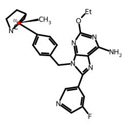 CCOc1nc(N)c2nc(-c3cncc(F)c3)n(Cc3ccc([C@@]4(C)CN5CCC4CC5)cc3)c2n1